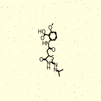 COc1cccc(NC(=O)CC2SC(=NN=C(C)C)NC2=O)c1C(=O)O